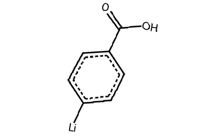 [Li][c]1ccc(C(=O)O)cc1